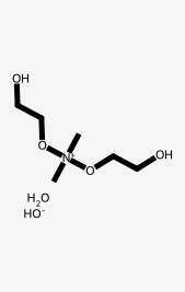 C[N+](C)(OCCO)OCCO.O.[OH-]